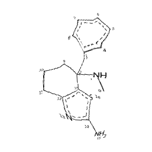 CNC1(c2ccccc2)CCCc2nc(N)sc21